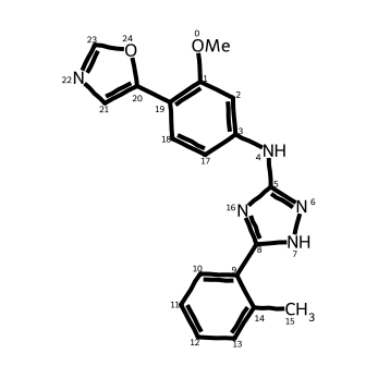 COc1cc(Nc2n[nH]c(-c3ccccc3C)n2)ccc1-c1cnco1